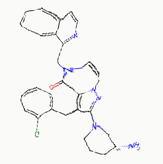 N[C@@H]1CCCN(c2nn3ccn(Cc4nccc5ccccc45)c(=O)c3c2Cc2ccccc2Cl)C1